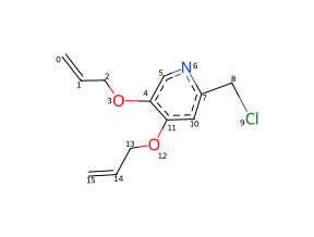 C=CCOc1cnc(CCl)cc1OCC=C